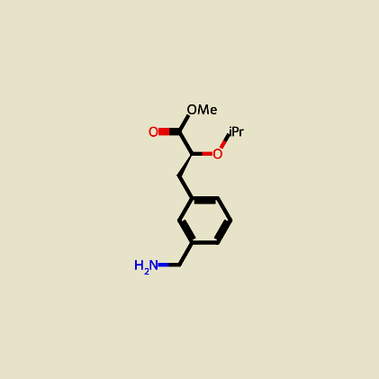 COC(=O)[C@H](Cc1cccc(CN)c1)OC(C)C